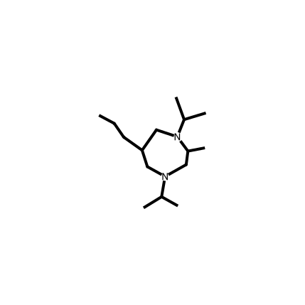 CCCC1CN(C(C)C)CC(C)N(C(C)C)C1